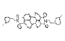 Cc1cccc(CCN2C(=O)c3ccc4c5ccc6c7c(ccc(c8ccc(c3c48)C2=O)c75)C(=O)N(CCc2cccc(C)c2)C6=O)c1